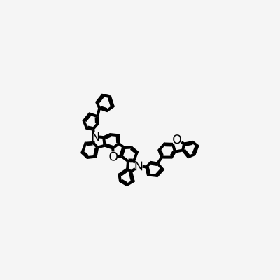 c1ccc(-c2cccc(-n3c4ccccc4c4c5oc6c(ccc7c6c6ccccc6n7-c6cccc(-c7ccc8oc9ccccc9c8c7)c6)c5ccc43)c2)cc1